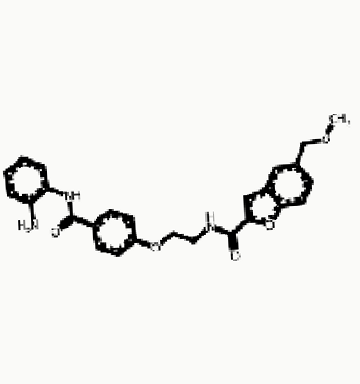 COCc1ccc2oc(C(=O)NCCOc3ccc(C(=O)Nc4ccccc4N)cc3)cc2c1